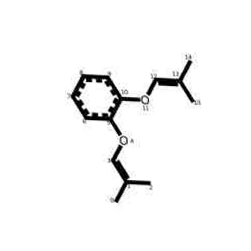 CC(C)=COc1ccccc1OC=C(C)C